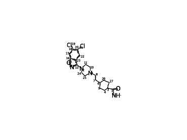 [NH]C(=O)C1CCC(CCN2CCN(c3noc4cc(Cl)c(Cl)cc34)CC2)CC1